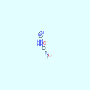 CC(C)C(=O)N1CC(c2ccc(NC(=O)NCc3ccn4ccnc4c3)cc2)C1